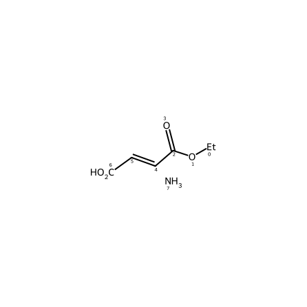 CCOC(=O)/C=C/C(=O)O.N